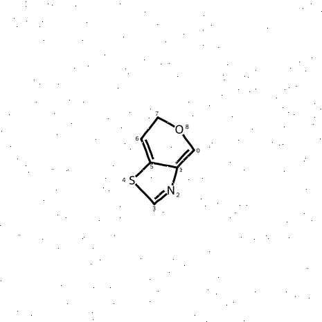 C1=c2ncsc2=CCO1